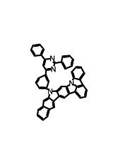 c1ccc(-c2cc(-c3cccc(-n4c5cc6ccccc6cc5c5cc6c7cccc8c9ccccc9n(c6cc54)c87)c3)nc(-c3ccccc3)n2)cc1